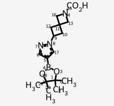 CC1(C)OB(c2cnn(C3CC4(C3)CN(C(=O)O)C4)c2)OC1(C)C